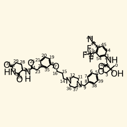 CC(O)(COc1ccc(CN2CCN(CCCOc3cccc(CC(=O)NC4CCC(=O)NC4=O)c3)CC2)cc1)C(=O)Nc1ccc(C#N)c(C(F)(F)F)c1